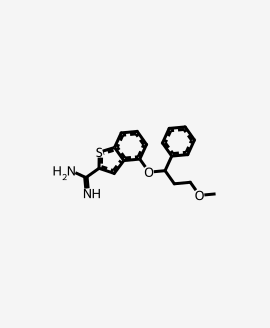 COCCC(Oc1cccc2sc(C(=N)N)cc12)c1ccccc1